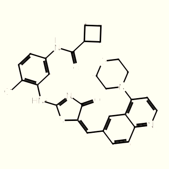 O=C1N=C(Nc2cc(NC(=O)C3CCC3)ccc2Cl)SC1=Cc1ccc2nccc(N3CCOCC3)c2c1